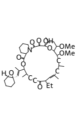 CCC1/C=C(\C)CC(C)CC(OC)C2OC(O)(C(=O)C(=O)N3CCCCC3C(=O)OC(C(C)=C[C@]34CCCC[C@@H]3O4)C(C)CCC1=O)C(C)CC2OC